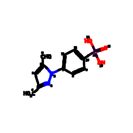 O=Cc1cc(C(=O)O)nn1-c1ccc(P(=O)(O)O)cc1